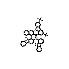 CC(C)(C)c1ccc2c(c1)c1cc(C(C)(C)C)cc3c1n2-c1cc2ccccc2c2c1B3N(c1cccc3c1oc1ccccc13)c1ccc3c(oc4ccccc43)c1-2